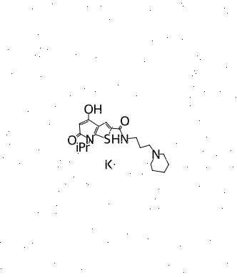 CC(C)n1c(=O)cc(O)c2cc(C(=O)NCCCN3CCCCC3)sc21.[K]